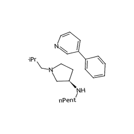 CCCCCN[C@@H]1CCN(C[C](C)C)C1.c1ccc(-c2cccnc2)cc1